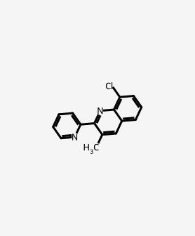 Cc1cc2cccc(Cl)c2nc1-c1ccccn1